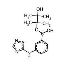 CC(C)(O)C(C)(C)OB(O)c1cccc(Nc2ncns2)c1